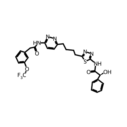 O=C(Cc1cccc(OC(F)(F)F)c1)Nc1ccc(CCCCc2nnc(NC(=O)[C@@H](O)c3ccccc3)s2)nn1